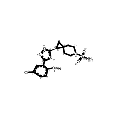 COc1ccc(Cl)cc1-c1noc([C@H]2CC23CCN(S(N)(=O)=O)CC3)n1